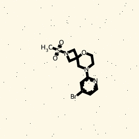 CS(=O)(=O)N1CC2(CN(c3cc(Br)ccn3)CCO2)C1